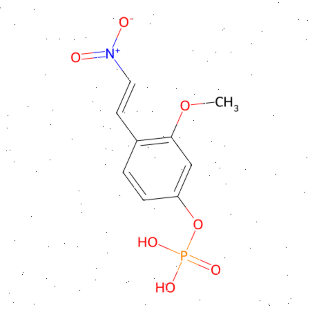 COc1cc(OP(=O)(O)O)ccc1C=C[N+](=O)[O-]